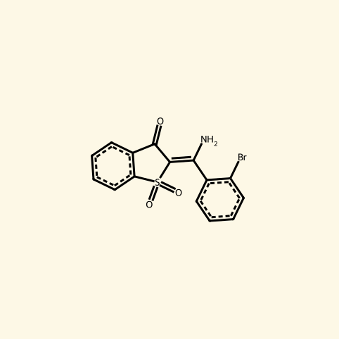 NC(=C1C(=O)c2ccccc2S1(=O)=O)c1ccccc1Br